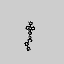 C=Cc1nn(C2=CC=C(C3=c4ccccc4=C(c4cccnc4)C4C=CC=C[C@@H]34)CC2)nc1/C=C/c1cccc(-c2cccnc2)c1